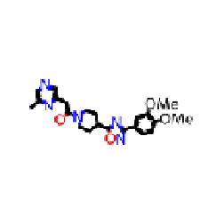 COc1ccc(-c2noc(C3CCN(C(=O)Cc4cncc(C)n4)CC3)n2)cc1OC